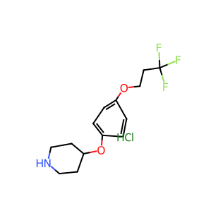 Cl.FC(F)(F)CCOc1ccc(OC2CCNCC2)cc1